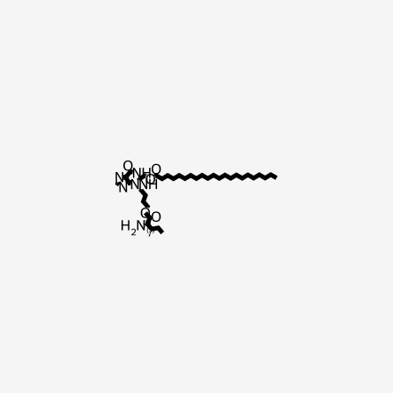 CCCCCCCCCCCCCCCCCCCCCC(=O)OCC1(NCCCCOC(=O)[C@@H](N)[C@@H](C)CC)N=C2N=CN=C2C(=O)N1